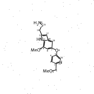 COCc1ccc(Oc2cc(OC)c3[nH]c(CSN)cc3c2)cn1